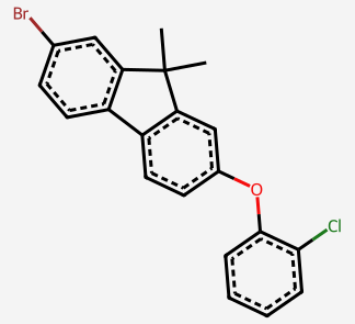 CC1(C)c2cc(Br)ccc2-c2ccc(Oc3ccccc3Cl)cc21